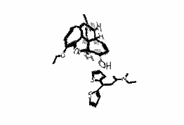 CCN(C)C(C)C=C(c1cccs1)c1cccs1.CCOc1ccc2c3c1O[C@H]1[C@@H](O)C=C[C@H]4[C@@H](C2)N(C)CC[C@@]341